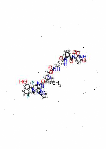 C#Cc1c(F)ccc2cc(O)cc(-c3ncc4c(N5CC6CCC(C5)N6)nc(OCC56CCC(COC(=O)NCCCCC(=O)Nc7cccc8c7C(=O)N(C7CCC(=O)NC7=O)C8=O)N5CC(C)C6)nc4c3F)c12